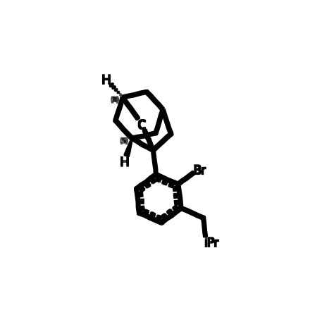 CC(C)Cc1cccc(C23CC4C[C@H](C[C@@H]2C4)C3)c1Br